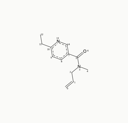 C=CCN(C)C(=O)c1ccc(CC)nc1